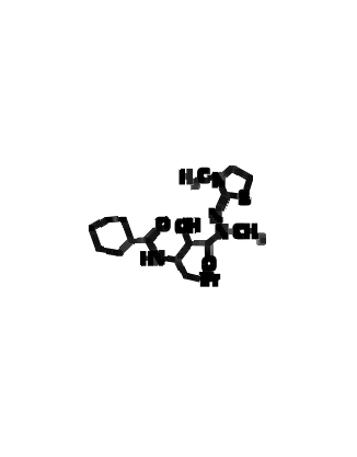 CC(C)CC(NC(=O)C1CCCCC1)C(O)C(=O)N(C)/N=C1\SCCN1C